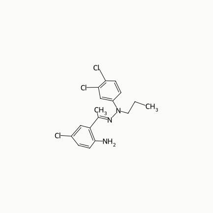 CCCN(/N=C(\C)c1cc(Cl)ccc1N)c1ccc(Cl)c(Cl)c1